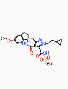 CC(C)(C)S(=O)(=O)NC(=O)c1c2c(nn1CCC1CC1)C[C@]1(CCc3cc(OCC(F)(F)F)ccc31)NC2=O